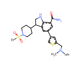 CCCN(C)Cc1cc(-c2cc(C(N)=O)c3c(c2)C(C2CCN(S(=O)(=O)CC)CC2)CN3)cs1